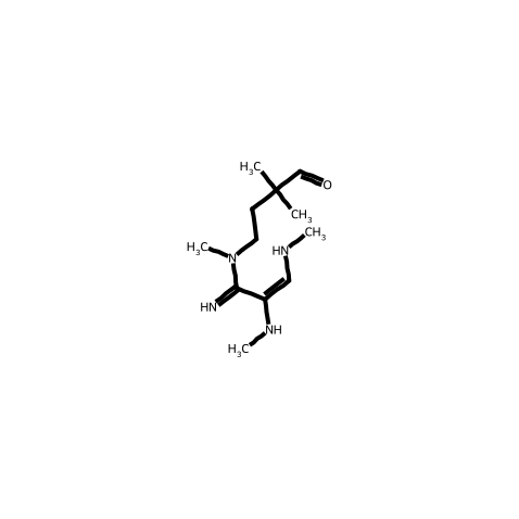 CN/C=C(/NC)C(=N)N(C)CCC(C)(C)C=O